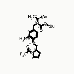 C[C@H](N(Cc1ccc(NCC2CCCN2C(=O)C(F)(F)F)c(N)c1)C(=O)OC(C)(C)C)C(C)(C)C